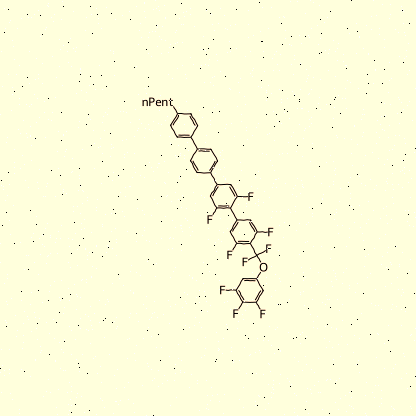 CCCCCc1ccc(-c2ccc(-c3cc(F)c(-c4cc(F)c(C(F)(F)Oc5cc(F)c(F)c(F)c5)c(F)c4)c(F)c3)cc2)cc1